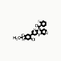 Cc1nc2cc(Cl)c(-c3ccc(N(C(=O)c4ccccc4F)c4ccncc4F)nc3)cc2o1